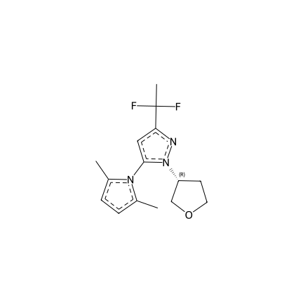 Cc1ccc(C)n1-c1cc(C(C)(F)F)nn1[C@@H]1CCOC1